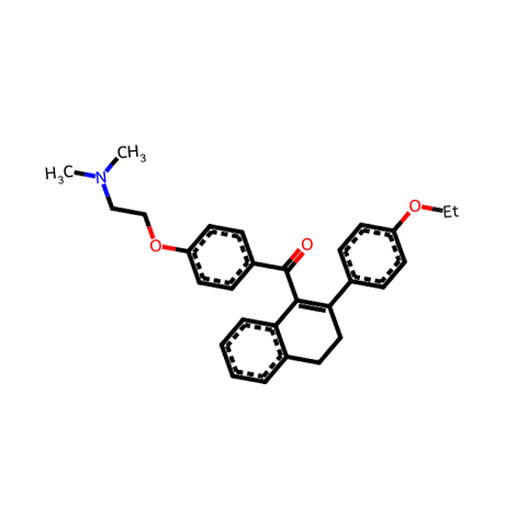 CCOc1ccc(C2=C(C(=O)c3ccc(OCCN(C)C)cc3)c3ccccc3CC2)cc1